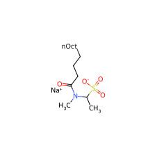 CCCCCCCCCCCC(=O)N(C)C(C)S(=O)(=O)[O-].[Na+]